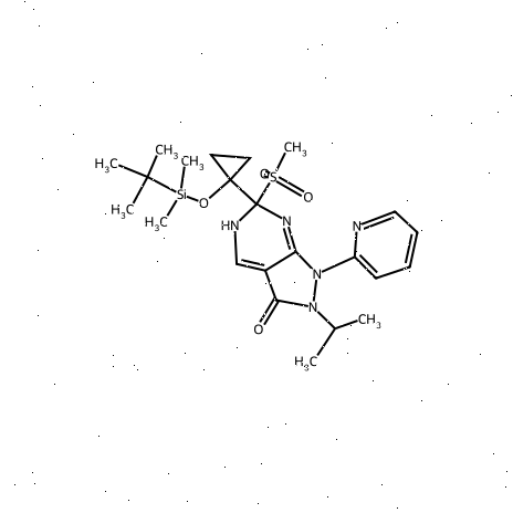 CC(C)n1c(=O)c2c(n1-c1ccccn1)=NC(C1(O[Si](C)(C)C(C)(C)C)CC1)(S(C)(=O)=O)NC=2